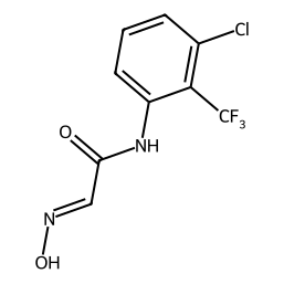 O=C(C=NO)Nc1cccc(Cl)c1C(F)(F)F